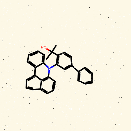 CC(C)(O)c1ccc(-c2ccccc2)cc1N1c2ccccc2-c2cccc3cccc1c23